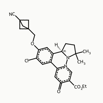 CCOC(=O)c1cn2c(cc1=O)-c1cc(Cl)c(OCC34CC(C#N)(C3)C4)cc1[C@H]1CCC(C)(C)N12